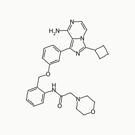 Nc1nccn2c(C3CCC3)nc(-c3cccc(OCc4ccccc4NC(=O)CN4CCOCC4)c3)c12